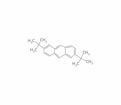 CC(C)(C)c1[c]c2cc3ccc(C(C)(C)C)cc3cc2cc1